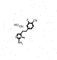 Cl.Cl.Cn1c(CCc2ccc(C#N)c(F)c2)cnc1N